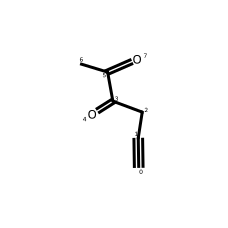 C#CCC(=O)C(C)=O